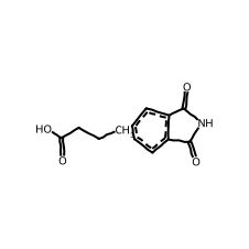 CCCC(=O)O.O=C1NC(=O)c2ccccc21